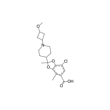 COC1CC(N2CCC(C3(C)Oc4c(Cl)cc(C(=O)O)c(C)c4O3)CC2)C1